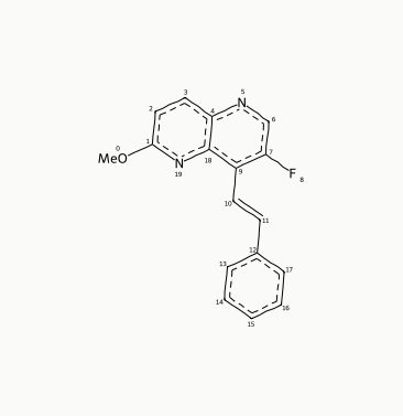 COc1ccc2ncc(F)c(/C=C/c3ccccc3)c2n1